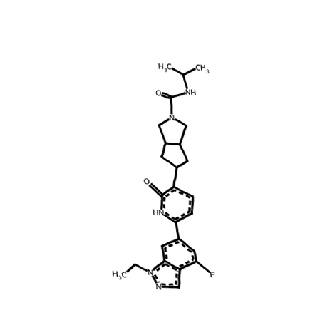 CCn1ncc2c(F)cc(-c3ccc(C4CC5CN(C(=O)NC(C)C)CC5C4)c(=O)[nH]3)cc21